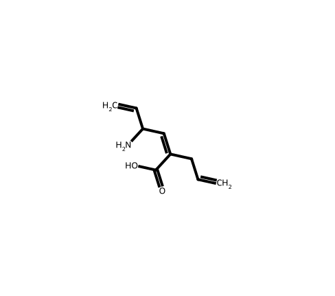 C=CCC(=CC(N)C=C)C(=O)O